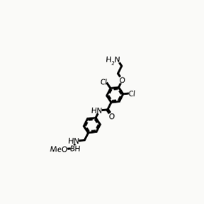 COBNCc1ccc(NC(=O)c2cc(Cl)c(OCCN)c(Cl)c2)cc1